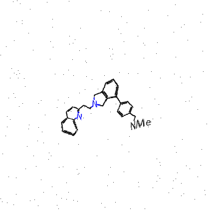 CNCc1ccc(-c2cccc3c2CN(CCc2ccc4ccccc4n2)C3)cc1